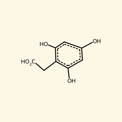 O=C(O)Cc1c(O)cc(O)cc1O